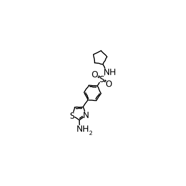 Nc1nc(-c2ccc(S(=O)(=O)NC3CCCC3)cc2)cs1